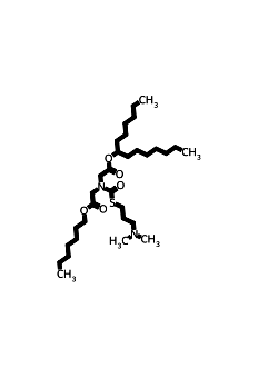 CCCCCCCOC(=O)CN(CC(=O)OC(CCCCCC)CCCCCCC)C(=O)SCCCN(C)C